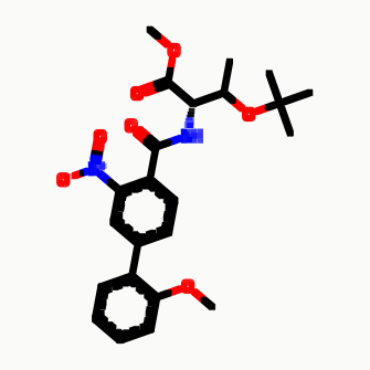 COC(=O)[C@@H](NC(=O)c1ccc(-c2ccccc2OC)cc1[N+](=O)[O-])C(C)OC(C)(C)C